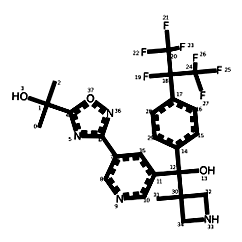 CC(C)(O)c1nc(-c2cncc(C(O)(c3ccc(C(F)(C(F)(F)F)C(F)(F)F)cc3)C3(C)CNC3)c2)no1